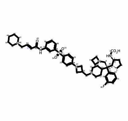 O=C(O)N[C@H]1CCC[C@@H]1[C@](CN1CCC1)(c1cccc(F)c1)C1CCN(CC2CN(c3ccc(S(=O)(=O)c4cccc(NC(=O)/C=C/CN5CCCCC5)c4)cc3)C2)CC1